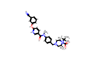 C[C@H]1CN(Cc2ccc(N(C)C(=O)c3ccc(Oc4cccc(C#N)c4)nc3)cc2)CC[N+]1(C(=O)[O-])C(C)(C)C